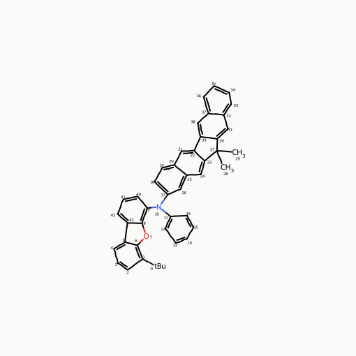 CC(C)(C)c1cccc2c1oc1c(N(c3ccccc3)c3ccc4cc5c(cc4c3)C(C)(C)c3cc4ccccc4cc3-5)cccc12